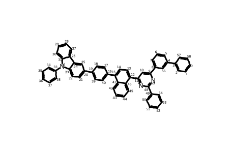 c1ccc(-c2cccc(-c3cc(-c4ccc(-c5ccc(-c6ccc7c(c6)c6ccccc6n7-c6ccccc6)cc5)c5ccccc45)nc(-c4ccccc4)n3)c2)cc1